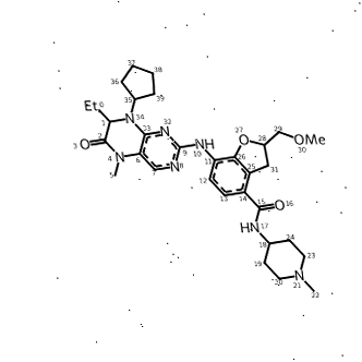 CCC1C(=O)N(C)c2cnc(Nc3ccc(C(=O)NC4CCN(C)CC4)c4c3OC(COC)C4)nc2N1C1CCCC1